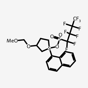 COCOC1CCS(OS(=O)(=O)C(F)(F)C(F)(F)C(F)(F)C(F)(F)F)(c2cccc3ccccc23)C1